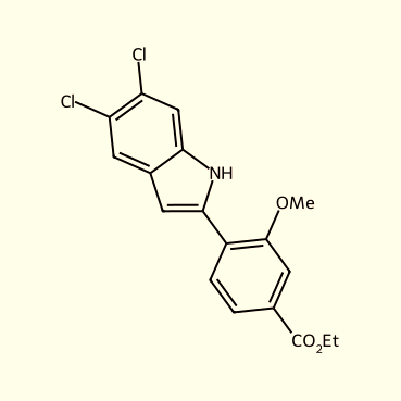 CCOC(=O)c1ccc(-c2cc3cc(Cl)c(Cl)cc3[nH]2)c(OC)c1